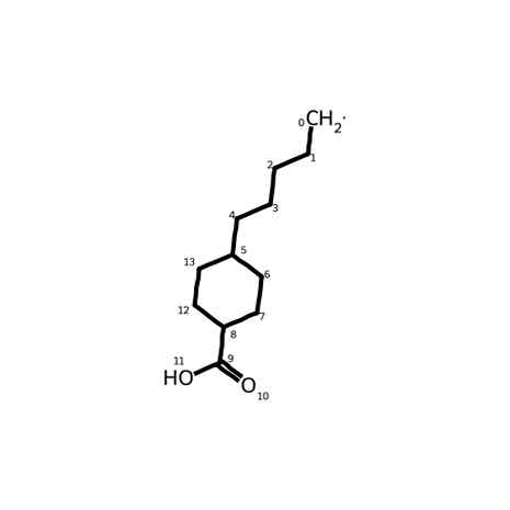 [CH2]CCCCC1CCC(C(=O)O)CC1